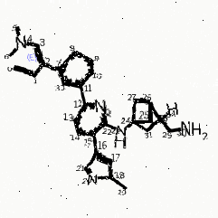 C=C/C(=C\N(C)C)c1cccc(-c2ccc(C3=CC(C)N=C3)c(NC34CC(C3)[C@H](CN)C4)n2)c1